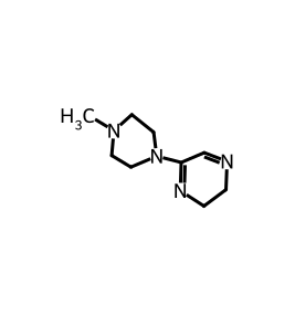 CN1CCN(C2=NCCN=C2)CC1